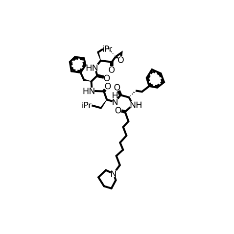 CC(C)C[C@H](NC(=O)[C@H](CCc1ccccc1)NC(=O)CCCCCCCN1CCCCC1)C(=O)N[C@@H](Cc1ccccc1)C(=O)N[C@@H](CC(C)C)C(=O)[C@@]1(C)CO1